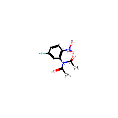 CC(=O)N(C(C)=O)c1cc(F)ccc1[N+](=O)[O-]